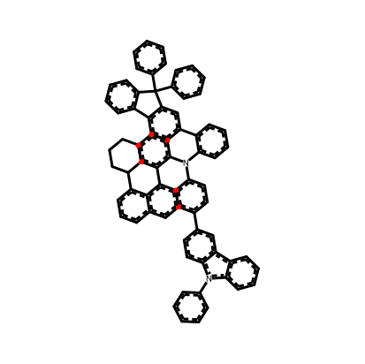 c1ccc(-n2c3ccccc3c3cc(-c4ccc(N(c5ccccc5-c5ccc6c(c5)C(c5ccccc5)(c5ccccc5)c5ccccc5-6)c5ccccc5-c5cccc6cccc(C7CCCCC7)c56)cc4)ccc32)cc1